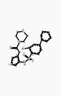 CC(=O)c1cc(-c2ccccc2)ccc1S(=O)(=O)Nc1cscc1CC(=O)N1CCOCC1